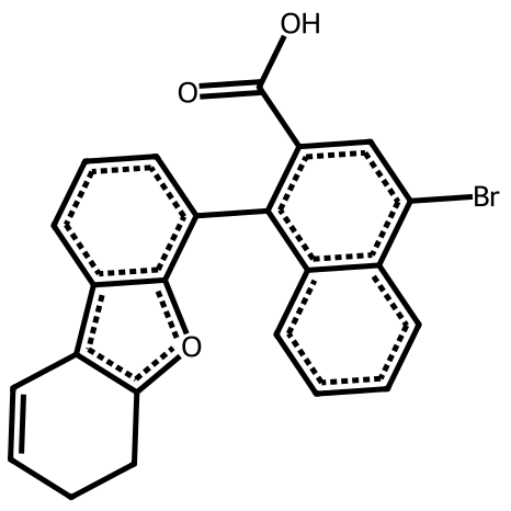 O=C(O)c1cc(Br)c2ccccc2c1-c1cccc2c3c(oc12)CCC=C3